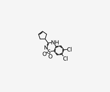 O=S1(=O)N=C(C2CC=CC2)Nc2cc(Cl)c(Cl)cc21